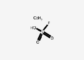 O=S(=O)(O)F.[CaH2]